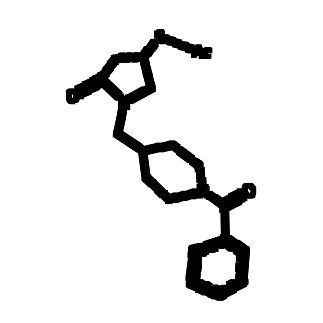 CC(=O)SC1CC(=O)N(CC2CCN(C(=O)c3ccccc3)CC2)C1